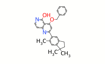 Cc1cc2c(cc1-c1cc(OCc3ccccc3)c3c(O)nccc3n1)CCC2(C)C